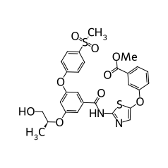 COC(=O)c1cccc(Oc2cnc(NC(=O)c3cc(Oc4ccc(S(C)(=O)=O)cc4)cc(O[C@@H](C)CO)c3)s2)c1